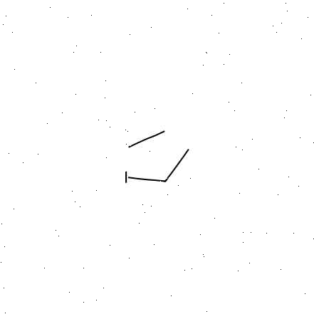 CC.CCI